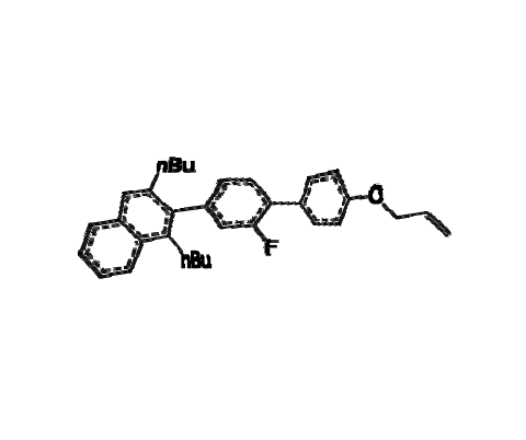 C=CCOc1ccc(-c2ccc(-c3c(CCCC)cc4ccccc4c3CCCC)cc2F)cc1